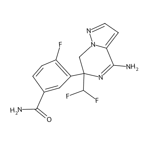 NC(=O)c1ccc(F)c(C2(C(F)F)Cn3nccc3C(N)=N2)c1